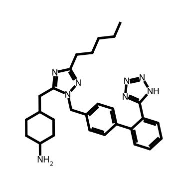 CCCCCc1nc(CC2CCC(N)CC2)n(Cc2ccc(-c3ccccc3-c3nnn[nH]3)cc2)n1